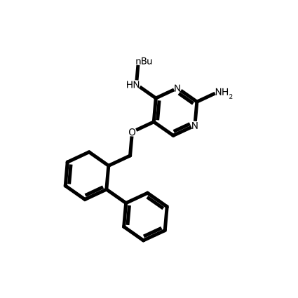 CCCCNc1nc(N)ncc1OCC1CC=CC=C1c1ccccc1